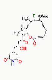 CO[C@H]1/C=C/CC/C=C/C(=O)O[C@H]([C@H](C)C(=O)C[C@H](O)CC2CC(=O)NC(=O)C2)/C(C)=C\[C@@H](C)[C@@H]1F